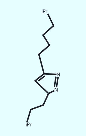 CC(C)CCCCC1=CC(CCC(C)C)N=N1